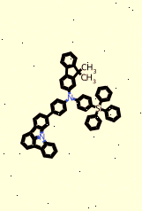 CC1(C)c2ccccc2-c2ccc(N(c3ccc(-c4ccc5c6cccc7c8ccccc8n(c5c4)c76)cc3)c3ccc([Si](c4ccccc4)(c4ccccc4)c4ccccc4)cc3)cc21